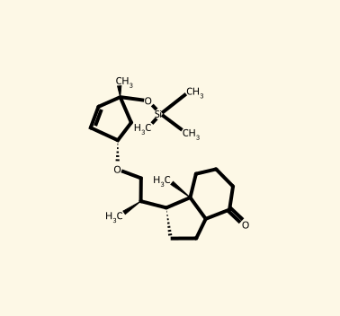 C[C@@H](CO[C@@H]1C=C[C@](C)(O[Si](C)(C)C)C1)[C@H]1CCC2C(=O)CCC[C@]21C